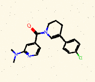 CN(C)c1cc(C(=O)N2C=C(c3ccc(Cl)cc3)CCC2)ccn1